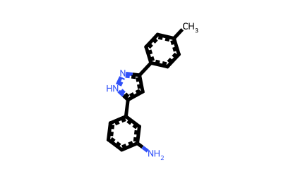 Cc1ccc(-c2cc(-c3cccc(N)c3)[nH]n2)cc1